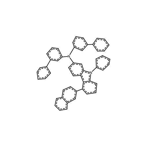 c1ccc(-c2cccc(N(c3cccc(-c4ccccc4)c3)c3ccc4c5c(-c6ccc7ccccc7c6)cccc5n(-c5ccccc5)c4c3)c2)cc1